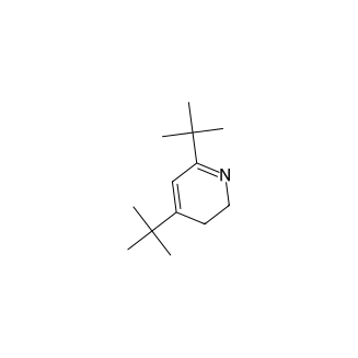 CC(C)(C)C1=CC(C(C)(C)C)=NCC1